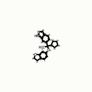 CC(Oc1ccc2c(c1)OCC2)(c1ccc2cn[nH]c2c1)C1CCCC1